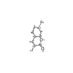 O=c1oc2cc(F)ccc2cc1I